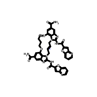 COc1cc(C(N)=O)cc2nc(NC(=O)c3cc4ncccc4o3)n(C/C=C/Cn3c(NC(=O)c4cc5ncccc5o4)nc4cc(C(N)=O)cc(OCCCO)c43)c12